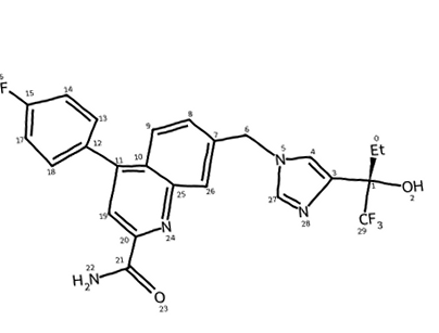 CC[C@](O)(c1cn(Cc2ccc3c(-c4ccc(F)cc4)cc(C(N)=O)nc3c2)cn1)C(F)(F)F